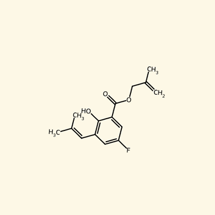 C=C(C)COC(=O)c1cc(F)cc(C=C(C)C)c1O